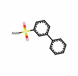 CNS(=O)(=O)c1cccc(-c2c[c]ccc2)c1